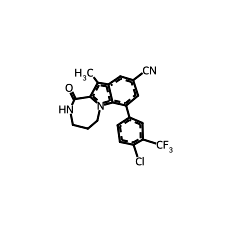 Cc1c2n(c3c(-c4ccc(Cl)c(C(F)(F)F)c4)cc(C#N)cc13)CCCNC2=O